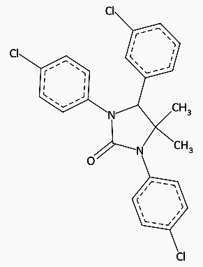 CC1(C)C(c2cccc(Cl)c2)N(c2ccc(Cl)cc2)C(=O)N1c1ccc(Cl)cc1